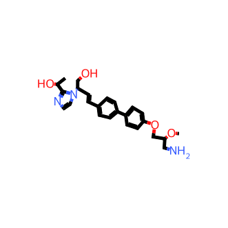 COC(CN)COc1ccc(-c2ccc(/C=C/C(CO)n3ccnc3C(C)O)cc2)cc1